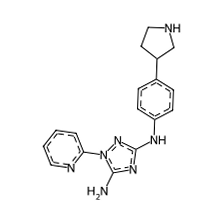 Nc1nc(Nc2ccc(C3CCNC3)cc2)nn1-c1ccccn1